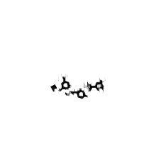 COc1cncc(-c2cn(-c3cc(C(=O)Nc4cc(C(F)(F)F)cc(CN5CCC5)c4OC)ccc3C)nn2)c1